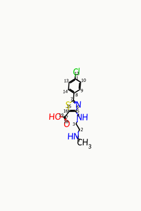 CNCCNc1nc(-c2ccc(Cl)cc2)sc1C(=O)O